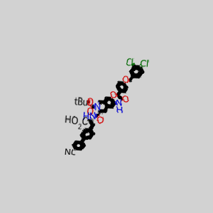 CC(C)(C)OC(=O)N1Cc2cc3c(cc2C[C@H]1C(=O)N[C@@H](Cc1ccc(-c2ccc(C#N)cc2)cc1)C(=O)O)NC(=O)C(c1ccc(OCc2ccc(Cl)c(Cl)c2)cc1)O3